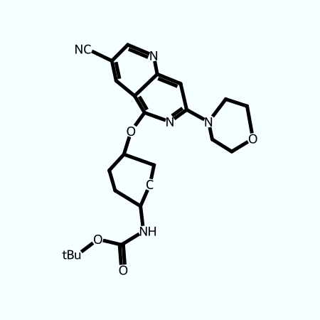 CC(C)(C)OC(=O)NC1CCC(Oc2nc(N3CCOCC3)cc3ncc(C#N)cc23)CC1